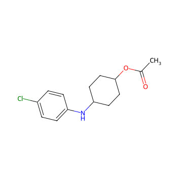 CC(=O)OC1CCC(Nc2ccc(Cl)cc2)CC1